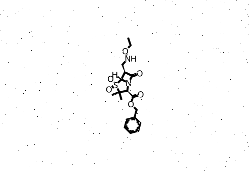 CCONC[C@H]1C(=O)N2[C@@H](C(=O)OCc3ccccc3)C(C)(C)S(=O)(=O)[C@H]12